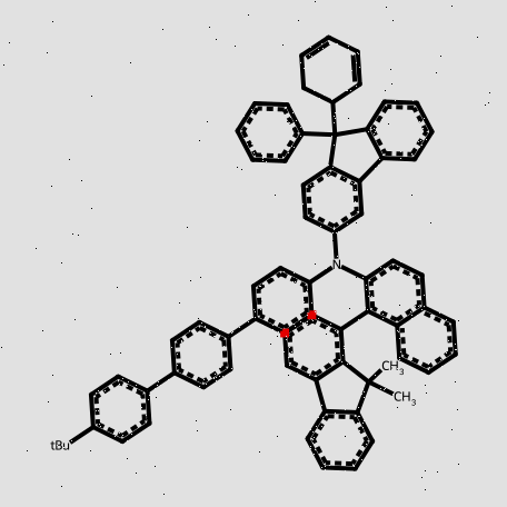 CC(C)(C)c1ccc(-c2ccc(-c3ccc(N(c4ccc5c(c4)-c4ccccc4C5(c4ccccc4)C4C=CC=CC4)c4ccc5ccccc5c4-c4cccc5c4C(C)(C)c4ccccc4-5)cc3)cc2)cc1